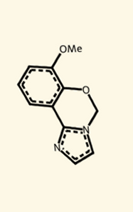 COc1cccc2c1OCn1ccnc1-2